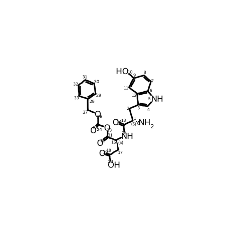 N[C@@H](Cc1c[nH]c2ccc(O)cc12)C(=O)N[C@@H](CC(=O)O)C(=O)OC(=O)OCc1ccccc1